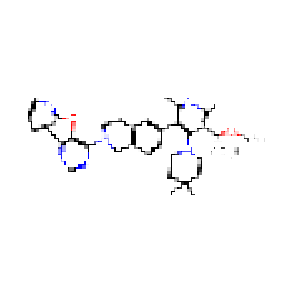 Cc1nc(C)c([C@H](OC(C)(C)C)C(=O)O)c(N2CCC(C)(C)CC2)c1-c1ccc2c(c1)CCN(c1ncnc3c1oc1ncccc13)C2